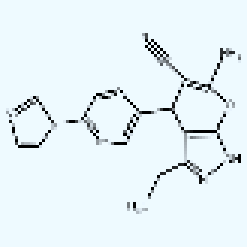 CCc1n[nH]c2c1C(c1ccc(-n3ccnc3)nc1)C(C#N)=C(N)O2